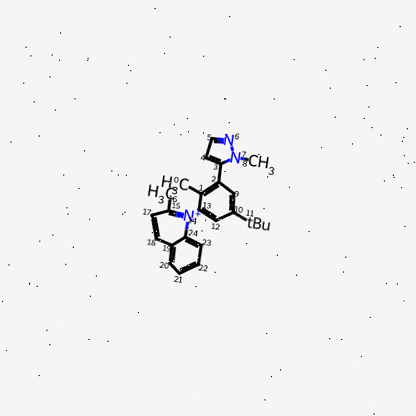 Cc1c(-c2ccnn2C)cc(C(C)(C)C)cc1-[n+]1c(C)ccc2ccccc21